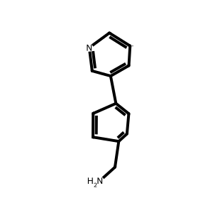 NCc1ccc(-c2c[c]cnc2)cc1